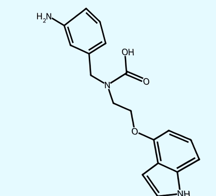 Nc1cccc(CN(CCOc2cccc3[nH]ccc23)C(=O)O)c1